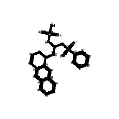 O=S(=O)(O)OC(CS(=O)(=O)c1ccccc1)NC1CC=Cc2cc3ccccc3cc21